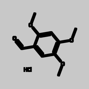 COc1cc(OC)c(OC)cc1C=O.Cl